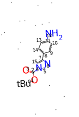 CC(C)(C)OC(=O)n1cnc(-c2ccc(N)cc2)c1